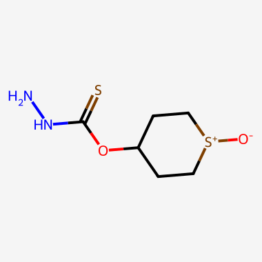 NNC(=S)OC1CC[S+]([O-])CC1